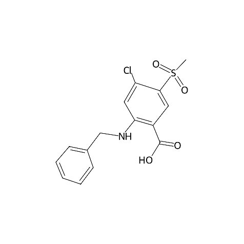 CS(=O)(=O)c1cc(C(=O)O)c(NCc2ccccc2)cc1Cl